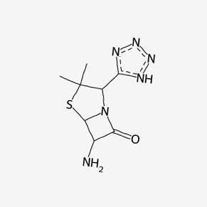 CC1(C)SC2C(N)C(=O)N2C1c1nnn[nH]1